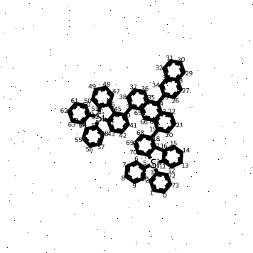 c1ccc([Si]2(c3ccccc3)c3ccccc3-c3c(-c4cccc5c(-c6ccc7ccccc7c6)c6cccc(-c7cccc8c7-c7ccccc7[Si]8(c7ccccc7)c7ccccc7)c6cc45)cccc32)cc1